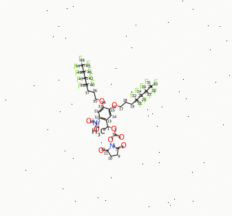 CC(OC(=O)ON1C(=O)CCC1=O)c1cc(OCCCC(F)(F)C(F)(F)C(F)(F)C(F)(F)F)c(OCCCC(F)(F)C(F)(F)C(F)(F)C(F)(F)F)cc1[N+](=O)[O-]